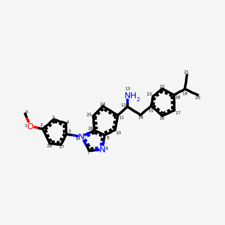 COc1ccc(-n2cnc3cc(C(N)Cc4ccc(C(C)C)cc4)ccc32)cc1